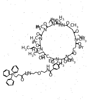 C/C=C/C[C@@H](C)[C@@H](O)[C@H]1C(=O)C[C@@H](CC)C(=O)N(C)C(Cc2ccc(C(=O)NCCOCCNCCC(=O)CC[P+](c3ccccc3)(c3ccccc3)c3ccccc3)cc2)C(=O)N(C)[C@@H](CC(C)C)C(=O)C[C@@H](C(C)C)C(=O)N(C)[C@@H](CC(C)C)C(=O)C[C@@H](C)C(=O)N[C@H](C)C(=O)N(C)[C@@H](CC(C)C)C(=O)N(C)[C@@H](CC(C)C)C(=O)N(C)[C@@H](C(C)C)C(=O)N1C